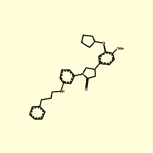 COc1ccc(C2CC(=O)N(c3cccc(NCCCc4ccccc4)c3)C2)cc1OC1CCCC1